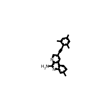 Cc1cc(C)c(C#Cc2cnc3c(N)nc4cc(C)ccc4c3c2)c(C)c1